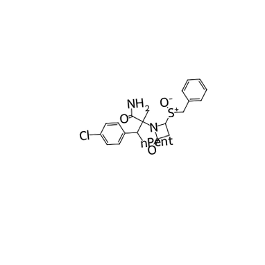 CCCCCC(c1ccc(Cl)cc1)C(C)(C(N)=O)N1C(=O)CC1[S+]([O-])Cc1ccccc1